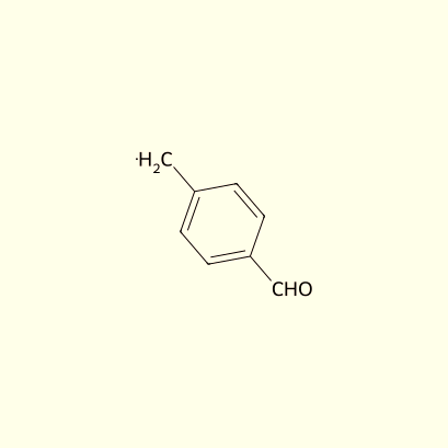 [CH2]c1ccc(C=O)cc1